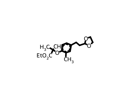 CCOC(=O)C(C)(C)Oc1ccc(CCC2OCCO2)cc1C